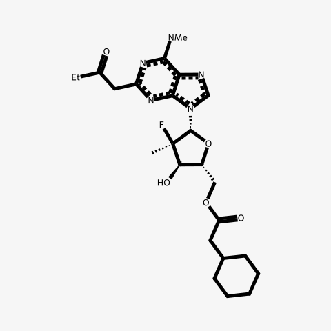 CCC(=O)Cc1nc(NC)c2ncn([C@@H]3O[C@H](COC(=O)CC4CCCCC4)[C@@H](O)[C@@]3(C)F)c2n1